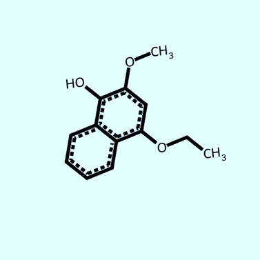 CCOc1cc(OC)c(O)c2ccccc12